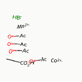 Br.CC(=O)O.CC(=O)[O-].CC(=O)[O-].CC(=O)[O-].CC(=O)[O-].[Co+2].[Mn+2]